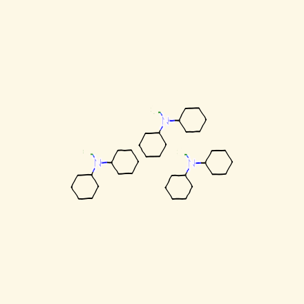 ClN(C1CCCCC1)C1CCCCC1.ClN(C1CCCCC1)C1CCCCC1.ClN(C1CCCCC1)C1CCCCC1.[Ti]